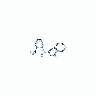 Nc1ccccc1C(=O)c1cnc2ccccc2c1